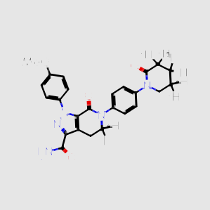 [2H]C1([2H])Cc2c(C(N)=O)nn(-c3ccc(OC)cc3)c2C(=O)N1c1ccc(N2CC([2H])([2H])C([2H])([2H])C([2H])([2H])C2=O)cc1